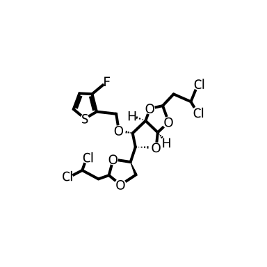 Fc1ccsc1CO[C@@H]1[C@H]2OC(CC(Cl)Cl)O[C@H]2O[C@@H]1[C@H]1COC(CC(Cl)Cl)O1